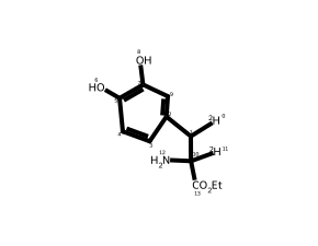 [2H]C(c1ccc(O)c(O)c1)C([2H])(N)C(=O)OCC